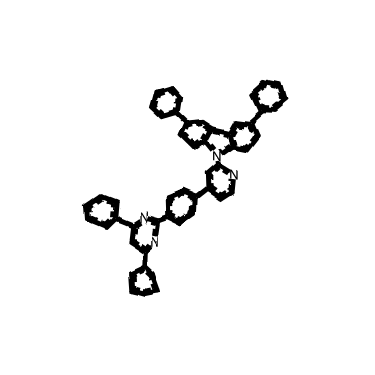 c1ccc(-c2ccc3c(c2)c2cc(-c4ccccc4)ccc2n3-c2cc(-c3ccc(-c4nc(-c5ccccc5)cc(-c5ccccc5)n4)cc3)ccn2)cc1